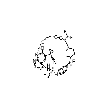 C[C@H]1Nc2ncnc3c2cc(C2(C#N)CC2)c(=O)n3CCCCCCCC(C(F)F)N2CCC(CC2)C(F)(F)c2cccc1c2F